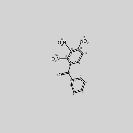 O=C(c1ccccc1)c1ccc([N+](=O)[O-])c([N+](=O)[O-])c1[N+](=O)[O-]